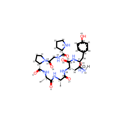 C[C@H](NC(=O)[C@H](C)NC(=O)[C@@H]1CCCN1C(=O)CNC(=O)[C@@H]1CCCN1)C(=O)N[C@@H](CC(N)=O)C(=O)N[C@@H](Cc1ccc(O)cc1)C(=O)O